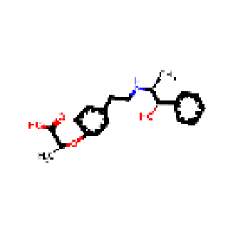 C[C@H](NCCc1ccc(O[C@H](C)C(=O)O)cc1)[C@@H](O)c1ccccc1